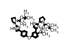 COc1ccc(Oc2ccc(-c3c[nH]c([C@@H]4CCCN4C(=O)OC(C)(C)C)n3)cc2)cc1-c1c[nH]c([C@@H]2CCCN2C(=O)OC(C)(C)C)n1